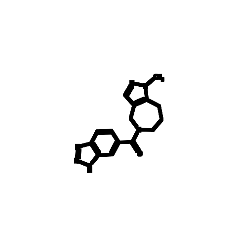 Cn1ncc2c1CCCN(C(=O)c1ccc3nn[nH]c3c1)C2